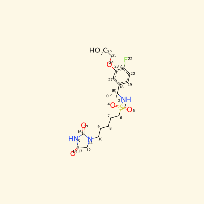 C[C@@H](NS(=O)(=O)CCCCCN1CC(=O)NC1=O)c1ccc(F)c(OCC(=O)O)c1